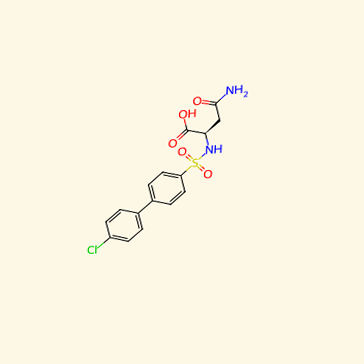 NC(=O)C[C@@H](NS(=O)(=O)c1ccc(-c2ccc(Cl)cc2)cc1)C(=O)O